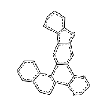 c1ccc2c(c1)ccc1c3nccnc3c3cc4sc5ccccc5c4cc3c21